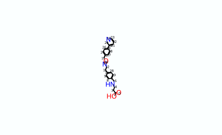 O=C(O)CCNCc1ccc(CC=NOCc2ccc(-c3cccnc3)cc2)cc1